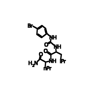 CCCC(NC(=O)C(CC(C)C)NC(=O)Nc1ccc(Br)cc1)C(N)=O